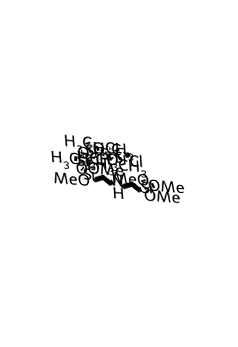 CO[Si](CCCNCCC[Si](OC)(OC)O[Si](C)(C)O[Si](C)(C)O[Si](C)(C)O[Si](C)(C)CCl)(OC)OC